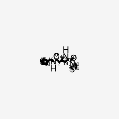 O=C(CC1CN[C@H](C(=O)N2CCSC2)C1)NCc1ccsc1